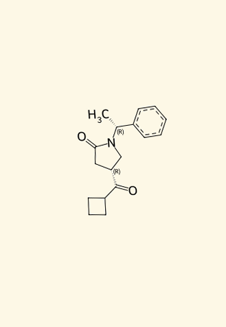 C[C@H](c1ccccc1)N1C[C@H](C(=O)C2CCC2)CC1=O